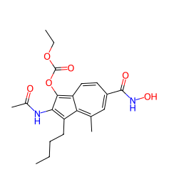 CCCCc1c(NC(C)=O)c(OC(=O)OCC)c2ccc(C(=O)NO)cc(C)c1-2